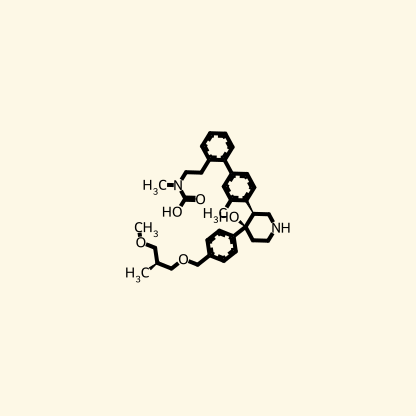 COC[C@H](C)COCc1ccc([C@@]2(O)CCNC[C@@H]2c2ccc(-c3ccccc3CCN(C)C(=O)O)cc2C)cc1